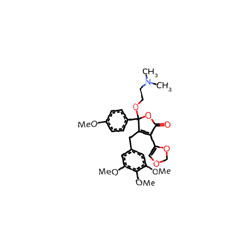 COc1ccc(C2(OCCN(C)C)OC(=O)C(C3=COCO3)=C2Cc2cc(OC)c(OC)c(OC)c2)cc1